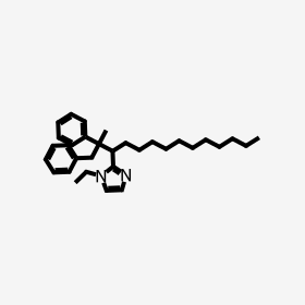 CCCCCCCCCCCC(c1nccn1CC)C(C)(Cc1ccccc1)c1ccccc1